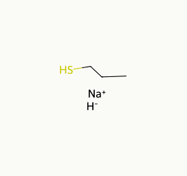 CCCS.[H-].[Na+]